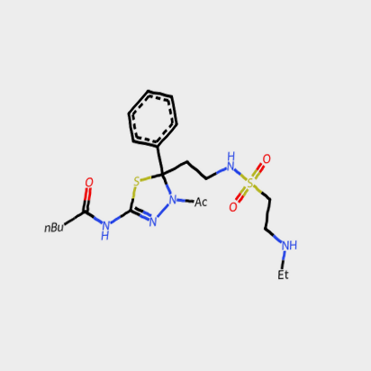 CCCCC(=O)NC1=NN(C(C)=O)C(CCNS(=O)(=O)CCNCC)(c2ccccc2)S1